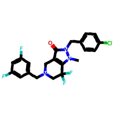 Cn1c2c(c(=O)n1Cc1ccc(Cl)cc1)CN(Cc1cc(F)cc(F)c1)CC2(F)F